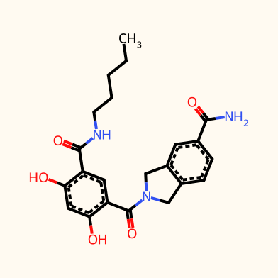 CCCCCNC(=O)c1cc(C(=O)N2Cc3ccc(C(N)=O)cc3C2)c(O)cc1O